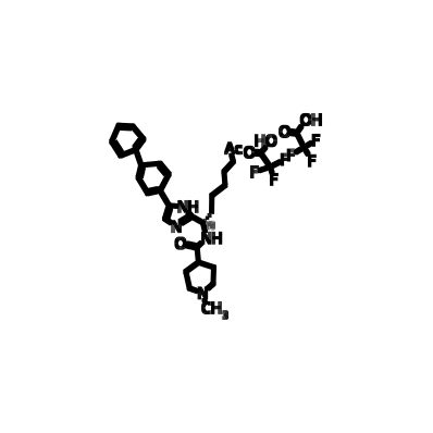 CC(=O)CCCCC[C@H](NC(=O)C1CCN(C)CC1)c1ncc(-c2ccc(-c3ccccc3)cc2)[nH]1.O=C(O)C(F)(F)F.O=C(O)C(F)(F)F